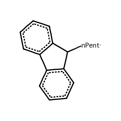 CCCC[CH]C1c2ccccc2-c2ccccc21